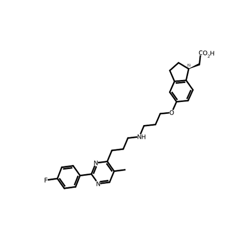 Cc1cnc(-c2ccc(F)cc2)nc1CCCNCCCOc1ccc2c(c1)CC[C@H]2CC(=O)O